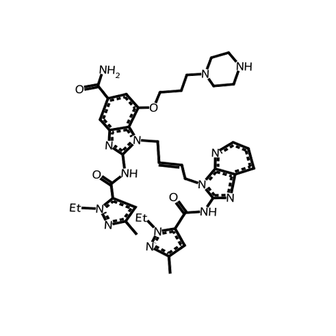 CCn1nc(C)cc1C(=O)Nc1nc2cccnc2n1C/C=C/Cn1c(NC(=O)c2cc(C)nn2CC)nc2cc(C(N)=O)cc(OCCCN3CCNCC3)c21